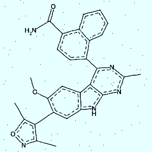 COc1cc2c(cc1-c1c(C)noc1C)[nH]c1nc(C)nc(-c3ccc(C(N)=O)c4ccccc34)c12